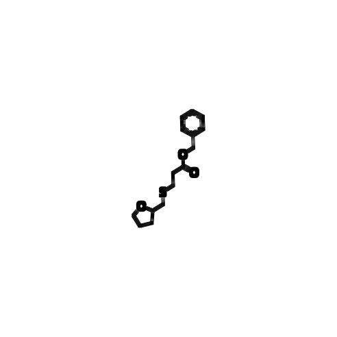 O=C(CCSCC1CCCO1)OCc1ccccc1